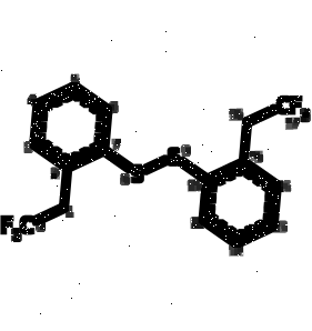 FC(F)(F)Cc1ccccc1SSc1ccccc1CC(F)(F)F